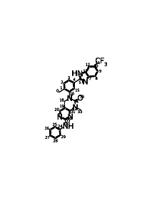 Cc1ccc(-c2nc3ccc(C(F)(F)F)cc3[nH]2)cc1N1Cc2cnc(Nc3ccccc3)nc2N(C)C1=O